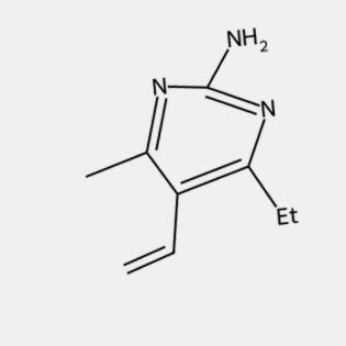 C=Cc1c(C)nc(N)nc1CC